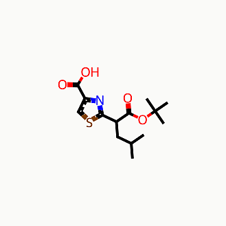 CC(C)CC(C(=O)OC(C)(C)C)c1nc(C(=O)O)cs1